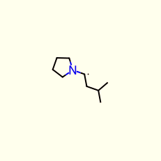 CC(C)C[CH]N1CCCC1